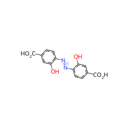 O=C(O)c1ccc(/N=N/c2ccc(C(=O)O)cc2O)c(O)c1